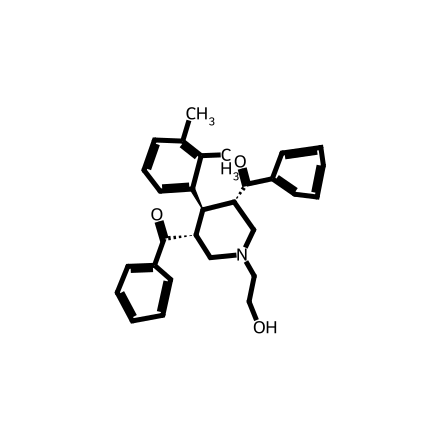 Cc1cccc([C@@H]2[C@@H](C(=O)c3ccccc3)CN(CCO)C[C@H]2C(=O)c2ccccc2)c1C